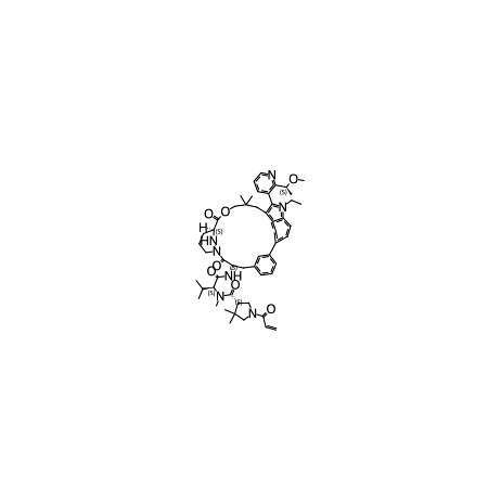 C=CC(=O)N1C[C@@H](C(=O)N(C)[C@H](C(=O)N[C@H]2Cc3cccc(c3)-c3ccc4c(c3)c(c(-c3cccnc3[C@H](C)OC)n4CC)CC(C)(C)COC(=O)[C@@H]3CCCN(N3)C2=O)C(C)C)C(C)(C)C1